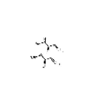 C=CC(=O)NC(C)(C)C.C=CC(=O)OCCCC